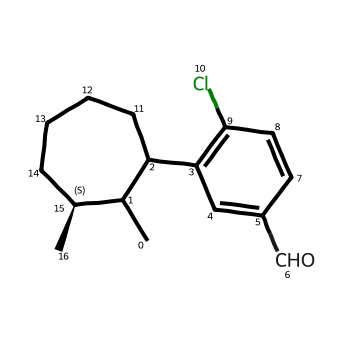 CC1C(c2cc(C=O)ccc2Cl)CCCC[C@@H]1C